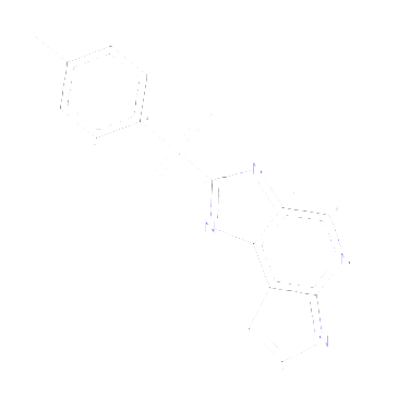 Cc1ccc(S(=O)(=O)C2=Nc3c4c(ncc3=N2)=NC=C4)cc1